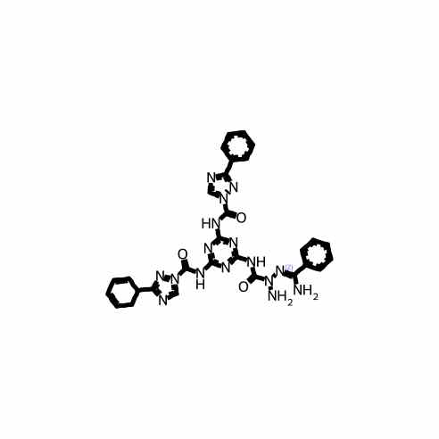 N/C(=N\N(N)C(=O)Nc1nc(NC(=O)n2cnc(-c3ccccc3)n2)nc(NC(=O)n2cnc(C3C=CC=CC3)n2)n1)c1ccccc1